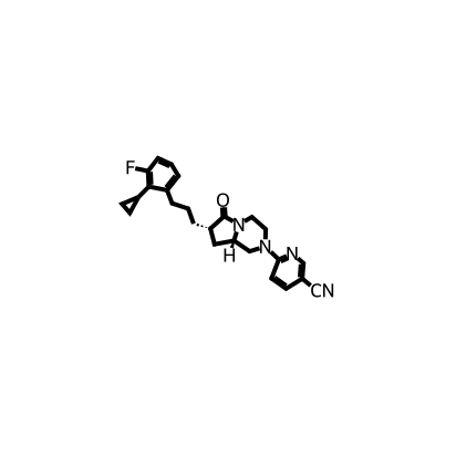 N#Cc1ccc(N2CCN3C(=O)[C@@H](CCCc4cccc(F)c4C4CC4)C[C@H]3C2)nc1